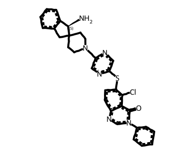 N[C@@H]1c2ccccc2CC12CCN(c1cnc(Sc3ccc4ncn(-c5ccccc5)c(=O)c4c3Cl)cn1)CC2